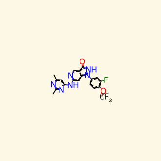 Cc1cc(Nc2cc3c(cn2)c(=O)[nH]n3-c2ccc(OC(F)(F)F)c(F)c2)nc(C)n1